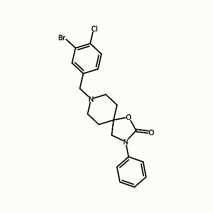 O=C1OC2(CCN(Cc3ccc(Cl)c(Br)c3)CC2)CN1c1ccccc1